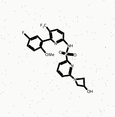 COc1ccc(F)cc1-c1nc(NS(=O)(=O)c2cccc(N3CC(O)C3)n2)ccc1C(F)(F)F